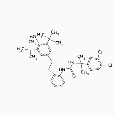 CC(C)(C)c1cc(CCc2ccccc2NC(=O)NC(C)(C)c2ccc(Cl)c(Cl)c2)cc(C(C)(C)C)c1O